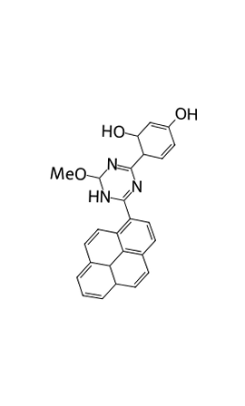 COC1N=C(C2C=CC(O)=CC2O)N=C(c2ccc3c4c2C=CC2=CC=CC(C=C3)C24)N1